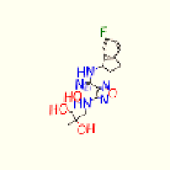 CC(O)(CO)CNc1nonc1/C(=N\O)NC1CCc2ccc(F)cc21